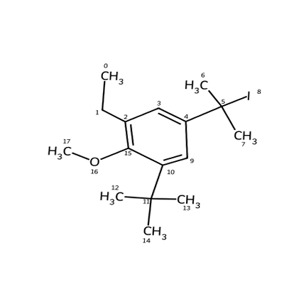 CCc1cc(C(C)(C)I)cc(C(C)(C)C)c1OC